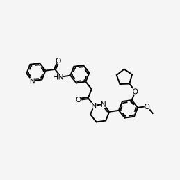 COc1ccc(C2=NN(C(=O)Cc3cccc(NC(=O)c4cccnc4)c3)CCC2)cc1OC1CCCC1